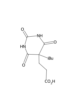 CCC(C)C1(CCC(=O)O)C(=O)NC(=O)NC1=O